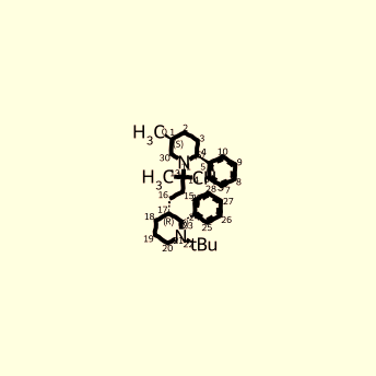 C[C@H]1CC[C@@H](c2ccccc2)N(C(C)(C)CC[C@H]2CCCN(C(C)(C)C)[C@H]2c2ccccc2)C1